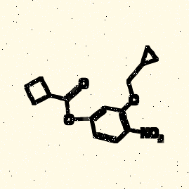 O=C(Oc1ccc([N+](=O)[O-])c(OCC2CC2)c1)C1CCC1